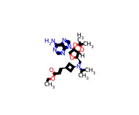 CCOC(=O)/C=C/[C@H]1C[C@H](N(C[C@H]2OC[C@@]3(n4cnc5c(N)ncnc54)OC(C)(C)O[C@H]23)C(C)C)C1